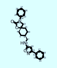 O=C1O[C@]2(CC[C@H](CNc3cc(-c4ccccc4)no3)CC2)CN1c1ccccc1